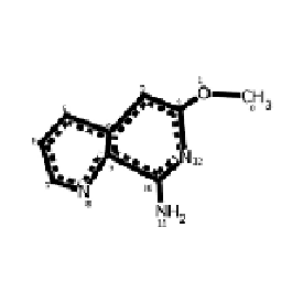 COc1cc2cccnc2c(N)n1